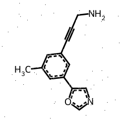 Cc1cc(C#CCN)cc(-c2cnco2)c1